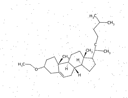 CCOC1CC[C@@]2(C)C(=CC[C@@H]3[C@@H]2CC[C@]2(C)C(C(C)CCCC(C)C)CC[C@@H]32)C1